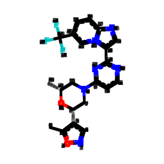 Cc1oncc1[C@H]1CN(c2ccnc(-c3cnc4ccc(C(F)(F)F)cn34)n2)C[C@@H](C)O1